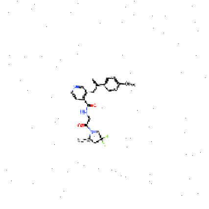 C=C(Cc1cnccc1C(=O)NCC(=O)N1CC(F)(F)C[C@H]1C#N)c1ccc(OC)cc1